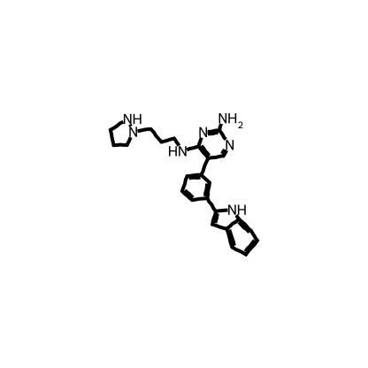 Nc1ncc(-c2cccc(-c3cc4ccccc4[nH]3)c2)c(NCCCN2CCCN2)n1